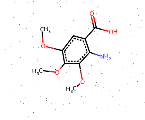 COc1cc(C(=O)O)c(N)c(OC)c1OC